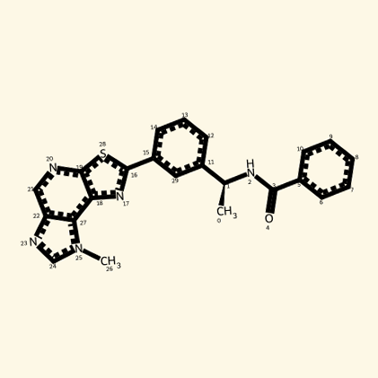 C[C@H](NC(=O)c1ccccc1)c1cccc(-c2nc3c(ncc4ncn(C)c43)s2)c1